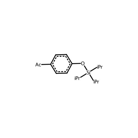 CC(=O)c1ccc(O[Si](C(C)C)(C(C)C)C(C)C)cc1